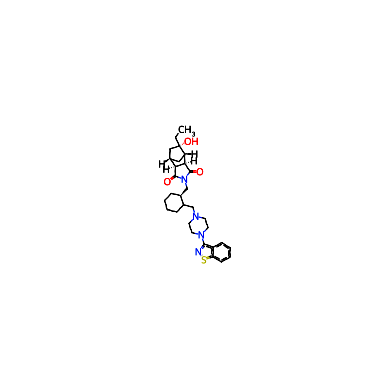 CC[C@]1(O)C[C@@H]2C[C@H]1[C@H]1C(=O)N(C[C@@H]3CCCCC3CN3CCN(c4nsc5ccccc45)CC3)C(=O)[C@@H]21